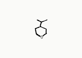 CC(C)C1CCOCC1